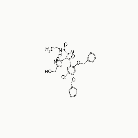 CCNC(=O)c1noc(-c2cc(Cl)c(OCc3ccccc3)cc2OCc2ccccc2)c1-c1cc(CO)no1